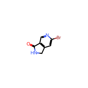 O=C1NCc2cc(Br)ncc21